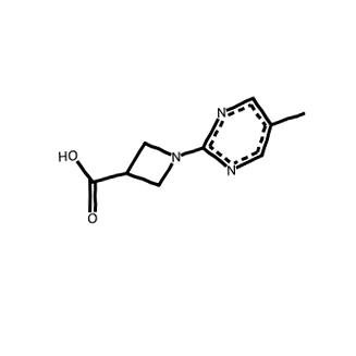 Cc1cnc(N2CC(C(=O)O)C2)nc1